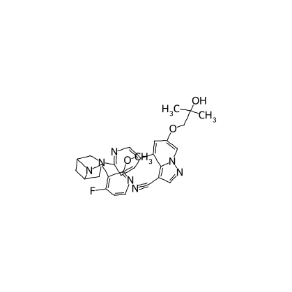 COc1nccc(F)c1CN1C2CC1CN(c1ccc(-c3cc(OCC(C)(C)O)cn4ncc(C#N)c34)cn1)C2